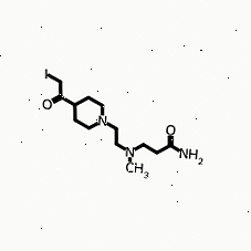 CN(CCC(N)=O)CCN1CCC(C(=O)CI)CC1